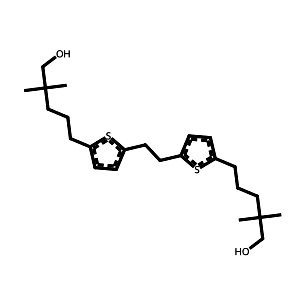 CC(C)(CO)CCCc1ccc(CCc2ccc(CCCC(C)(C)CO)s2)s1